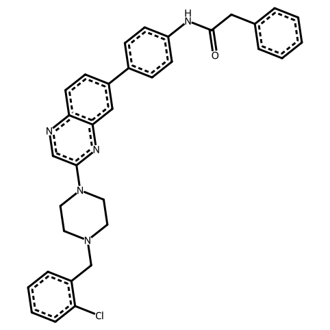 O=C(Cc1ccccc1)Nc1ccc(-c2ccc3ncc(N4CCN(Cc5ccccc5Cl)CC4)nc3c2)cc1